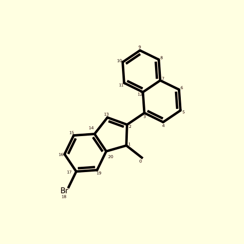 CC1C(c2cccc3ccccc23)=Cc2ccc(Br)cc21